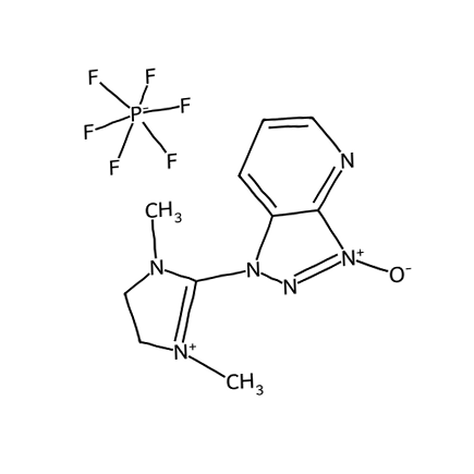 CN1CC[N+](C)=C1n1n[n+]([O-])c2ncccc21.F[P-](F)(F)(F)(F)F